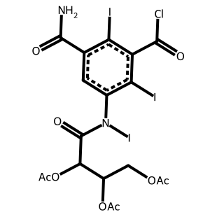 CC(=O)OCC(OC(C)=O)C(OC(C)=O)C(=O)N(I)c1cc(C(N)=O)c(I)c(C(=O)Cl)c1I